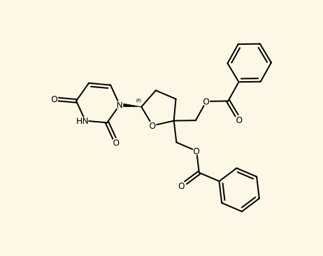 O=C(OCC1(COC(=O)c2ccccc2)CC[C@H](n2ccc(=O)[nH]c2=O)O1)c1ccccc1